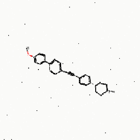 CCOc1ccc(-c2ccc(C#Cc3ccc([C@H]4CC[C@H](C)CC4)cc3)cc2)cc1